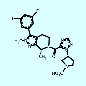 C[C@H]1c2nn(C)c(-c3cc(F)cc(F)c3)c2CCN1C(=O)c1ncnn1[C@H]1CCN(C(=O)O)C1